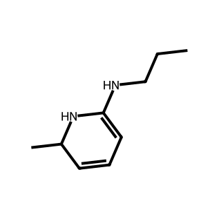 CCCNC1=CC=CC(C)N1